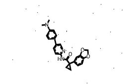 CN(C)c1ccc(-c2ccc(NC(=O)C3(c4ccc5c(c4)OCO5)CC3)nc2)cc1